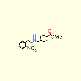 COC(=O)C1CCC(CNCCc2ccccc2[N+](=O)[O-])CC1